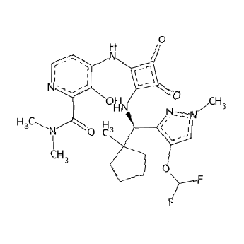 CN(C)C(=O)c1nccc(Nc2c(N[C@@H](c3nn(C)cc3OC(F)F)C3(C)CCCC3)c(=O)c2=O)c1O